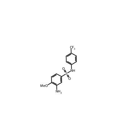 COc1ccc(S(=O)(=O)Nc2ccc(C(F)(F)F)cc2)cc1N